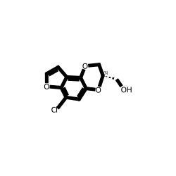 OC[C@H]1COc2c(cc(Cl)c3occc23)O1